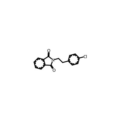 O=C1c2ccccc2C(=O)N1CCc1ccc(Cl)cc1